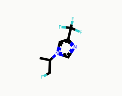 CC(CF)n1cnc(C(F)(F)F)c1